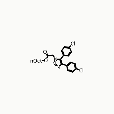 CCCCCCCCOC(=O)Cn1nnc(-c2ccc(Cl)cc2)c1-c1ccc(Cl)cc1